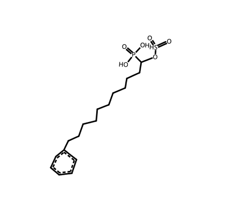 O=[SH](=O)OC(CCCCCCCCCCc1ccccc1)P(=O)(O)O